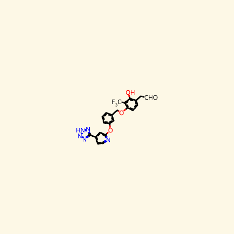 O=CCc1ccc(OCc2cccc(Oc3cc(-c4nn[nH]n4)ccn3)c2)c(C(F)(F)F)c1O